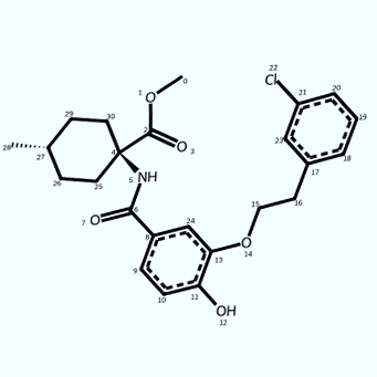 COC(=O)[C@]1(NC(=O)c2ccc(O)c(OCCc3cccc(Cl)c3)c2)CC[C@H](C)CC1